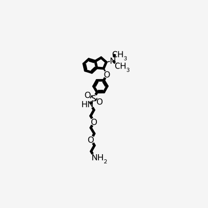 CN(C)[C@H]1Cc2ccccc2[C@@H]1Oc1ccc(S(=O)(=O)NCCOCCOCCN)cc1